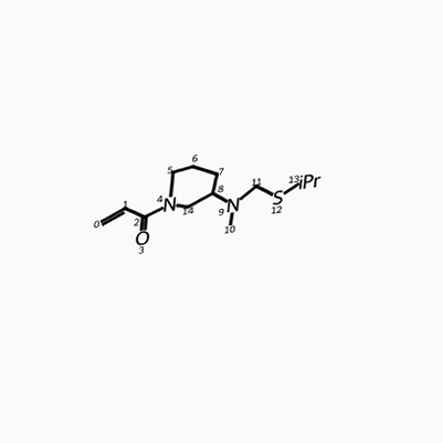 C=CC(=O)N1CCCC(N(C)CSC(C)C)C1